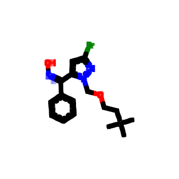 C[Si](C)(C)CCOCn1nc(Br)cc1/C(=N\O)c1ccccc1